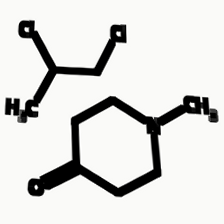 CC(Cl)CCl.CN1CCC(=O)CC1